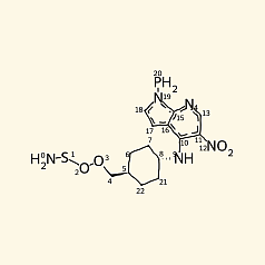 NSOOC[C@H]1CC[C@H](Nc2c([N+](=O)[O-])cnc3c2ccn3P)CC1